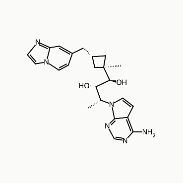 C[C@H]([C@H](O)[C@H](O)[C@]1(C)C[C@@H](Cc2ccn3ccnc3c2)C1)n1ccc2c(N)ncnc21